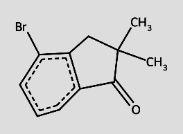 CC1(C)Cc2c(Br)cccc2C1=O